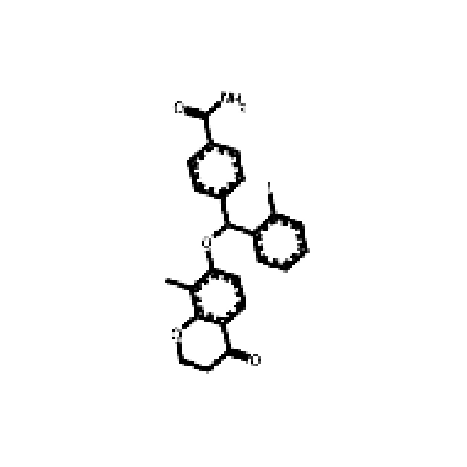 Cc1c(OC(c2ccc(C(N)=O)cc2)c2ccccc2I)ccc2c1OCCC2=O